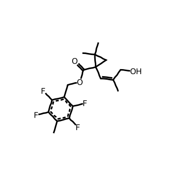 CC(=CC1(C(=O)OCc2c(F)c(F)c(C)c(F)c2F)CC1(C)C)CO